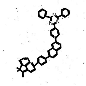 C=C(/C=C\C1=C(C)C(C)(C)c2ccccc21)c1ccc(-c2ccc3ccc(-c4ccc(-c5nc(-c6ccccc6)nc(-c6ccccc6)n5)cc4)cc3c2)cc1